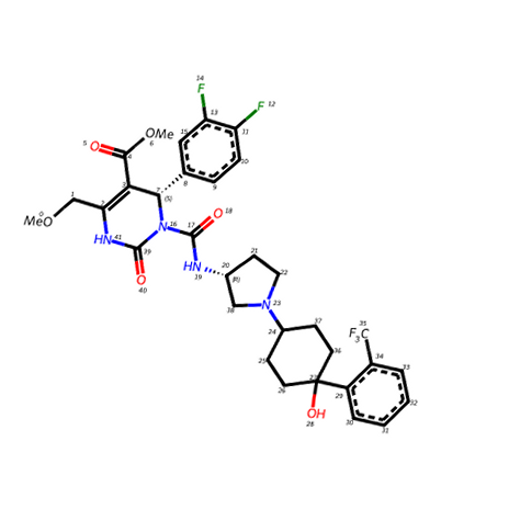 COCC1=C(C(=O)OC)[C@H](c2ccc(F)c(F)c2)N(C(=O)N[C@@H]2CCN(C3CCC(O)(c4ccccc4C(F)(F)F)CC3)C2)C(=O)N1